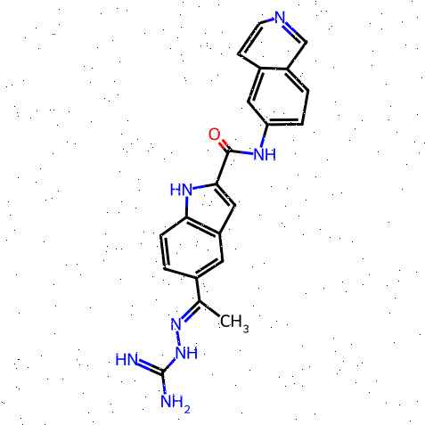 C/C(=N\NC(=N)N)c1ccc2[nH]c(C(=O)Nc3ccc4cnccc4c3)cc2c1